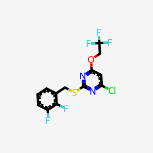 Fc1cccc(CSc2nc(Cl)cc(OCC(F)(F)F)n2)c1F